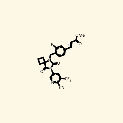 COC(=O)/C=C/c1ccc(CN2C(=O)N(c3cnc(C#N)c(C(F)(F)F)c3)C(=O)C23CCC3)c(F)c1